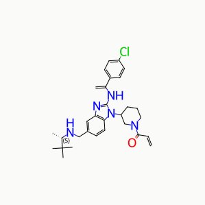 C=CC(=O)N1CCCC(n2c(NC(=C)c3ccc(Cl)cc3)nc3cc(CN[C@@H](C)C(C)(C)C)ccc32)C1